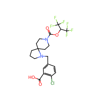 O=C(O)c1cc(CN2CCCC23CCN(C(=O)OC(C(F)(F)F)C(F)(F)F)CC3)ccc1Cl